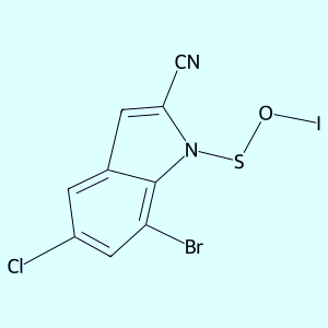 N#Cc1cc2cc(Cl)cc(Br)c2n1SOI